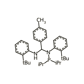 Cc1ccc(C(Nc2ccccc2C(C)(C)C)N(c2ccccc2C(C)(C)C)P(C(C)C)C(C)C)cc1